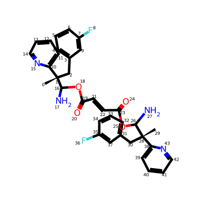 C[C@](Cc1cccc(F)c1)(c1ccccn1)C(N)OC(=O)/C=C/C(=O)OC(N)[C@@](C)(Cc1cccc(F)c1)c1ccccn1